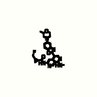 CNc1ncc(-c2nc3cc(N4CCOC(C)C4)ccc3o2)c2cc(NC(=O)C3CC3CF)ncc12